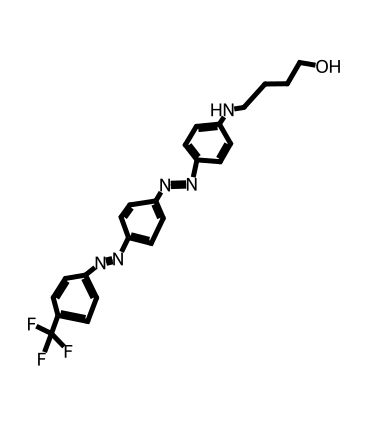 OCCCCNc1ccc(N=Nc2ccc(N=Nc3ccc(C(F)(F)F)cc3)cc2)cc1